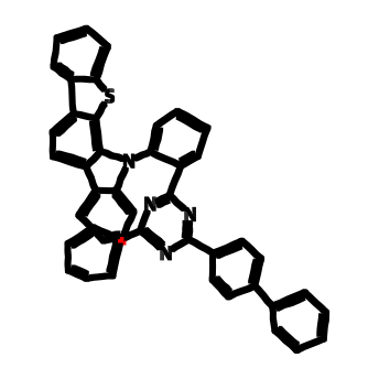 c1ccc(-c2ccc(-c3nc(-c4ccccc4)nc(-c4ccccc4-n4c5ccccc5c5ccc6c7ccccc7sc6c54)n3)cc2)cc1